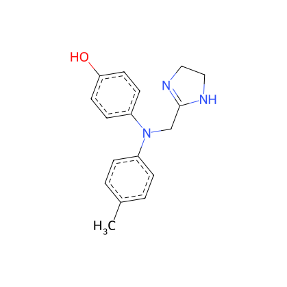 Cc1ccc(N(CC2=NCCN2)c2ccc(O)cc2)cc1